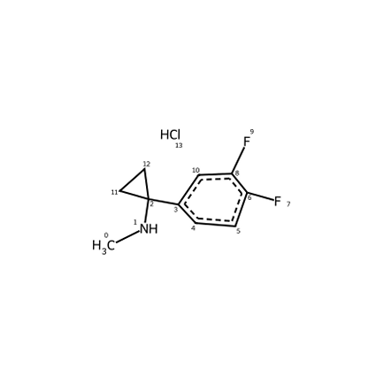 CNC1(c2ccc(F)c(F)c2)CC1.Cl